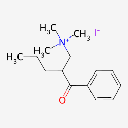 CCCC(C[N+](C)(C)C)C(=O)c1ccccc1.[I-]